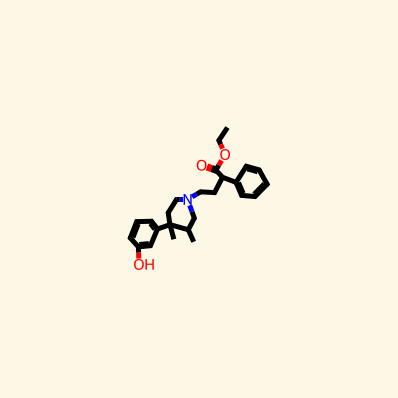 CCOC(=O)C(CCN1CCC(C)(c2cccc(O)c2)C(C)C1)c1ccccc1